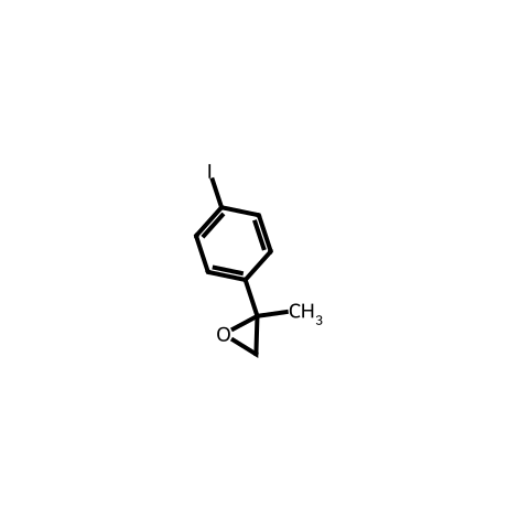 CC1(c2ccc(I)cc2)CO1